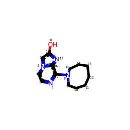 Oc1cn2ccnc(N3CCCCCCC3)c2n1